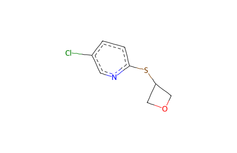 Clc1ccc(SC2COC2)nc1